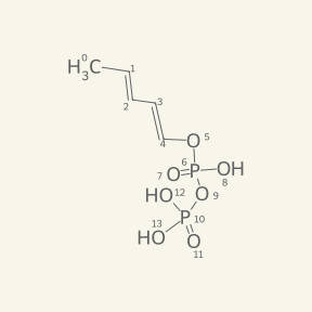 CC=CC=COP(=O)(O)OP(=O)(O)O